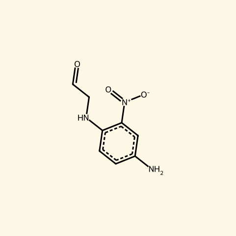 Nc1ccc(NCC=O)c([N+](=O)[O-])c1